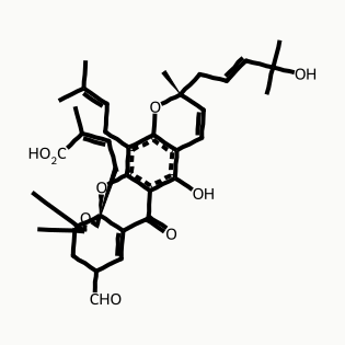 CC(C)=CCc1c2c(c(O)c3c1O[C@]14C(=CC(C=O)CC1C(C)(C)O[C@@H]4C/C=C(/C)C(=O)O)C3=O)C=C[C@@](C)(C/C=C/C(C)(C)O)O2